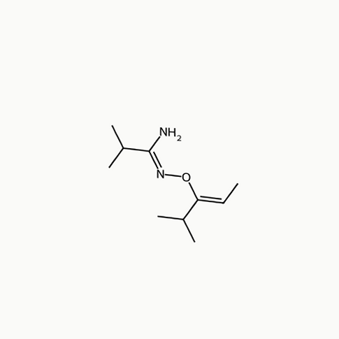 C/C=C(\O/N=C(\N)C(C)C)C(C)C